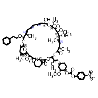 CO[C@@H]1C[C@H](C[C@@H](C)[C@@H]2CC(=O)[C@H](C)/C=C(\C)[C@@H](O)[C@@H](OC)C(=O)[C@H](C)C[C@H](C)/C=C/C=C/C=C(\C)[C@@H](OCCc3ccccc3)C[C@@H]3CC[C@@H](C)[C@@](O)(O3)C(=O)C(=O)N3CCCC[C@H]3C(=O)O2)CC[C@H]1OC(=O)Oc1ccc([N+](=O)[O-])cc1